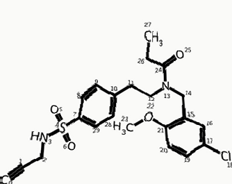 C#CCNS(=O)(=O)c1ccc(CCN(Cc2cc(Cl)ccc2OC)C(=O)CC)cc1